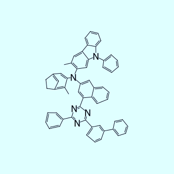 Cc1cc2c3ccccc3n(-c3ccccc3)c2cc1N(c1cc(-c2nc(-c3ccccc3)nc(-c3cccc(-c4ccccc4)c3)n2)c2ccccc2c1)c1cc2cc(c1C)CC2